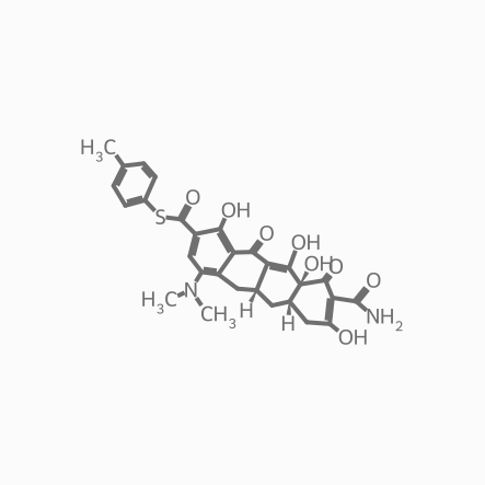 Cc1ccc(SC(=O)c2cc(N(C)C)c3c(c2O)C(=O)C2=C(O)[C@]4(O)C(=O)C(C(N)=O)=C(O)C[C@@H]4C[C@@H]2C3)cc1